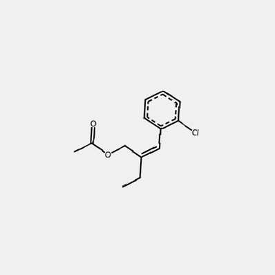 CCC(=Cc1ccccc1Cl)COC(C)=O